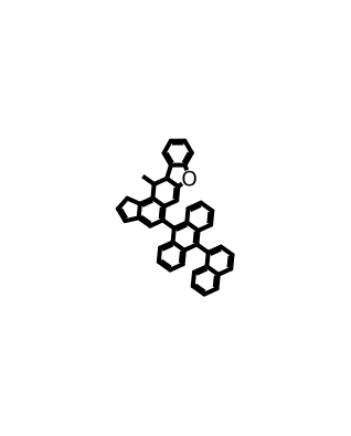 CC1c2c(c(-c3c4ccccc4c(-c4cccc5ccccc45)c4ccccc34)cc3c2CC=C3)C=C2Oc3ccccc3C21